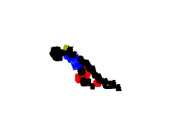 CCC(=O)CCCCCC(CNCc1csc(-c2ccccc2)n1)NC(=O)CS(C)(=O)=O